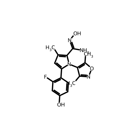 Cc1cc(-c2ccc(O)cc2F)n(-c2c(C)noc2C)c1/C(N)=N/O